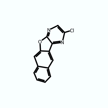 Clc1cnc2oc3cc4ccccc4cc3c2n1